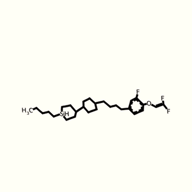 CCCCC[SiH]1CCC(C2CCC(CCCCc3ccc(OC=C(F)F)c(F)c3)CC2)CC1